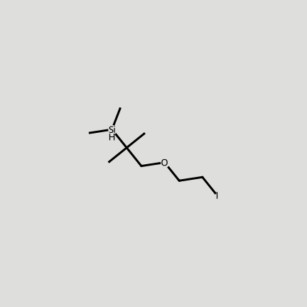 C[SiH](C)C(C)(C)COCCI